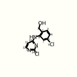 OCc1ccc(Cl)cc1Nc1ccnc(Cl)n1